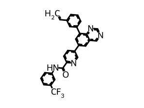 C=Cc1cccc(-c2cc(-c3ccc(C(=O)Nc4cccc(C(F)(F)F)c4)nc3)cc3cncnc23)c1